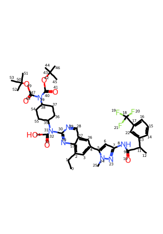 CCc1cc(-c2cc(NC(=O)C(C)c3cccc(C(F)(F)F)c3)nn2C)cc2cnc(N(C(=O)O)C3CCC(N(C(=O)OC(C)(C)C)C(=O)OC(C)(C)C)CC3)nc12